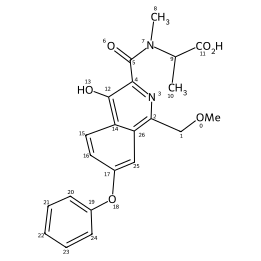 COCc1nc(C(=O)N(C)C(C)C(=O)O)c(O)c2ccc(Oc3ccccc3)cc12